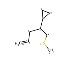 C=CCC(CSC)C1CC1